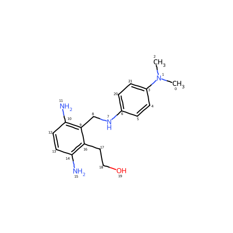 CN(C)c1ccc(NCc2c(N)ccc(N)c2CCO)cc1